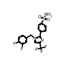 NS(=O)(=O)c1ccc(-c2nc(C(F)(F)F)cn2Cc2ccc(F)c(F)c2)cc1